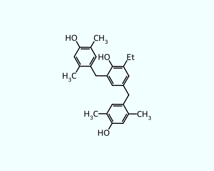 CCc1cc(Cc2cc(C)c(O)cc2C)cc(Cc2cc(C)c(O)cc2C)c1O